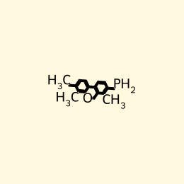 CCc1ccc2c(c1C)OCc1c-2ccc(CP)c1C